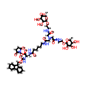 C[C@@H]1O[C@@H](OCCNC(=O)CN(CC(=O)NCCCCCC(=O)NC[C@@H](NC(=O)OCC2c3ccccc3-c3ccccc32)C(=O)ON2C(=O)CCC2=O)CC(=O)NCCO[C@@H]2O[C@@H](C)[C@@H](O)[C@@H](O)[C@@H]2O)[C@@H](O)[C@H](O)[C@@H]1O